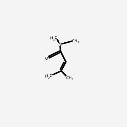 [CH2]/C(C)=C\C(=O)N(C)C